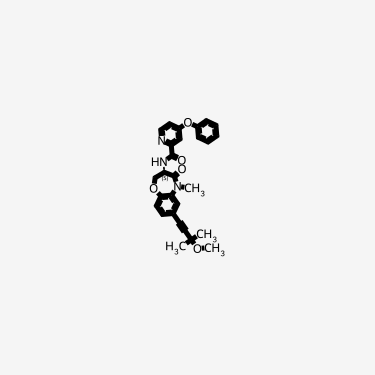 COC(C)(C)C#Cc1ccc2c(c1)N(C)C(=O)[C@@H](NC(=O)c1cc(Oc3ccccc3)ccn1)CO2